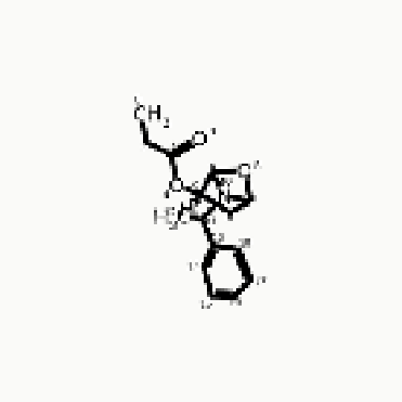 CCC(=O)O[C@H]1CC2OC1N2[C@H](C)c1ccccc1